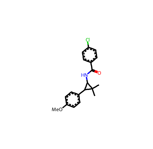 COc1ccc(C2C(NC(=O)c3ccc(Cl)cc3)C2(C)C)cc1